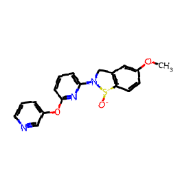 COc1ccc2c(c1)CN(c1cccc(Oc3cccnc3)n1)[S+]2[O-]